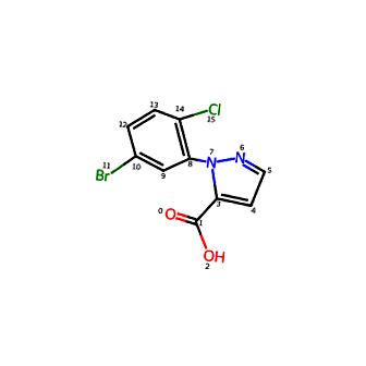 O=C(O)c1ccnn1-c1cc(Br)ccc1Cl